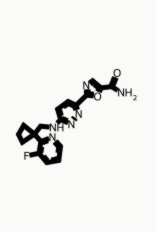 NC(=O)c1cnc(-c2ccc(NCC3(c4ncccc4F)CCC3)nn2)o1